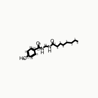 CCCCCCCC(=O)NCNC(=O)c1ccc(O)cc1